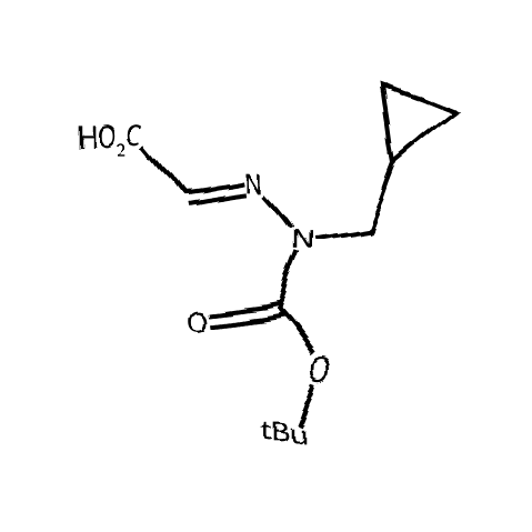 CC(C)(C)OC(=O)N(CC1CC1)N=CC(=O)O